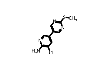 CSc1ncc(-c2cnc(N)c(Cl)c2)cn1